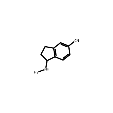 N#Cc1ccc2c(c1)CCC2NS